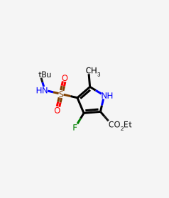 CCOC(=O)c1[nH]c(C)c(S(=O)(=O)NC(C)(C)C)c1F